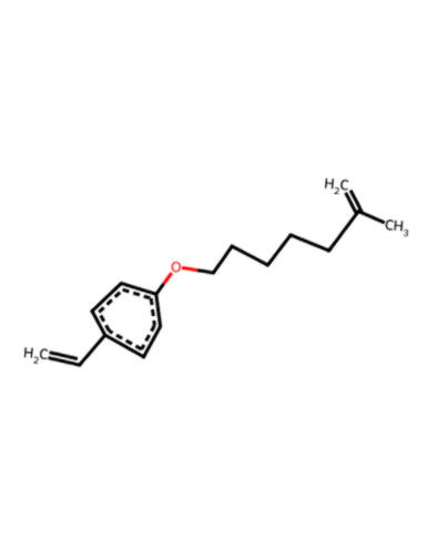 C=Cc1ccc(OCCCCCC(=C)C)cc1